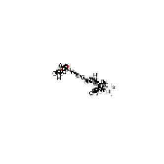 Cc1sc2c(c1C)C(c1ccc(Cl)cc1)=N[C@@H](CC(=O)NN1CCN(C(=O)CCOCCOCCOCCNc3cccc4c3C(=O)N(C3CCC(=O)NC3=O)C4=O)CC1)c1nnc(C)n1-2